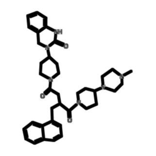 CN1CCN(C2CCN(C(=O)C(CC(=O)N3CCC(N4Cc5ccccc5NC4=O)CC3)Cc3cccc4ccccc34)CC2)CC1